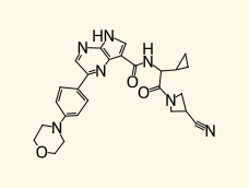 N#CC1CN(C(=O)C(NC(=O)c2c[nH]c3ncc(-c4ccc(N5CCOCC5)cc4)nc23)C2CC2)C1